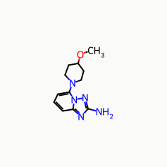 COC1CCN(c2cccc3nc(N)nn23)CC1